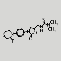 CN(C)C(=S)NCC1CN(c2ccc(N3CCSCC3F)cc2)C(=O)O1